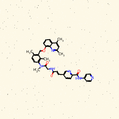 Cc1cc(C)c2cccc(OCc3c(C)ccc(N(C)C(=O)CNC(=O)C=Cc4ccc(C(=O)Nc5ccncc5)nc4)c3C)c2n1